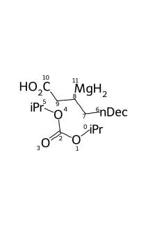 CC(C)OC(=O)OC(C)C.CCCCCCCCCCCCCC(=O)O.[MgH2]